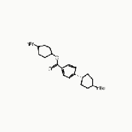 CCCC[C@H]1CC[C@H](c2ccc(C(=O)OC3CCC(CCC)CC3)cc2)CC1